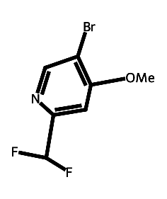 COc1cc(C(F)F)ncc1Br